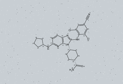 N#Cc1cc(Cl)c(Nc2nc3cnc(NC4CCCC4)nc3n2[C@H]2CC[C@@H](C(N)=O)CC2)c(Cl)c1